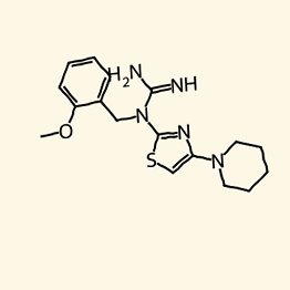 COc1ccccc1CN(C(=N)N)c1nc(N2CCCCC2)cs1